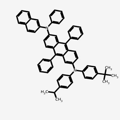 CC(C)c1ccc(N(c2ccc(C(C)(C)C)cc2)c2ccc3c(-c4ccccc4)c4cc(N(c5ccccc5)c5ccc6ccccc6c5)ccc4c(-c4ccccc4)c3c2)cc1